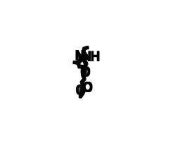 CCOC(=O)CCCOc1cc(C)c2nc(CC)[nH]c2c1